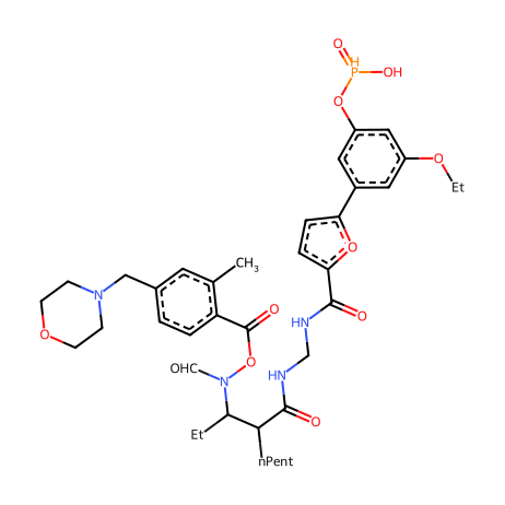 CCCCCC(C(=O)NCNC(=O)c1ccc(-c2cc(OCC)cc(O[PH](=O)O)c2)o1)C(CC)N(C=O)OC(=O)c1ccc(CN2CCOCC2)cc1C